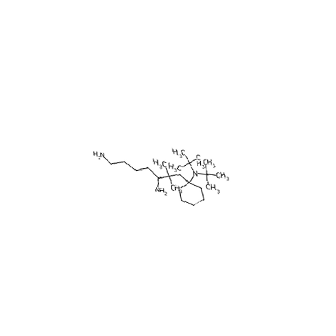 CC(C)(CC1(N(C(C)(C)C)C(C)(C)C)CCCCC1)C(N)CCCCN